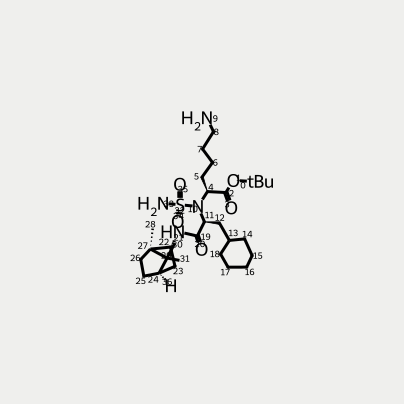 CC(C)(C)OC(=O)[C@H](CCCCN)N([C@@H](CC1CCCCC1)C(=O)N[C@@H]1C[C@H]2CC[C@]1(C)C2(C)C)S(N)(=O)=O